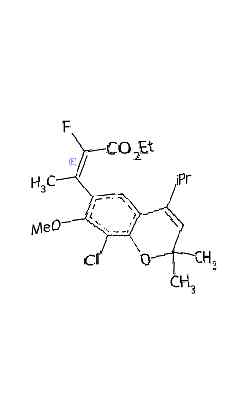 CCOC(=O)/C(F)=C(/C)c1cc2c(c(Cl)c1OC)OC(C)(C)C=C2C(C)C